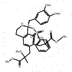 COc1ccc(C[C@]2(OS(=O)(=O)c3ccccc3)NCCc3cc(CC(C)(OC)C(=O)OC(C)(C)C)c(CC(C)(OC)C(=O)OC(C)(C)C)cc32)cc1OC